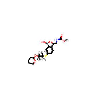 CC(C)(C)OC(=O)NCC1OB(O)c2cc(SC(C)(C)C(C)(C)OC3CCCCO3)ccc21